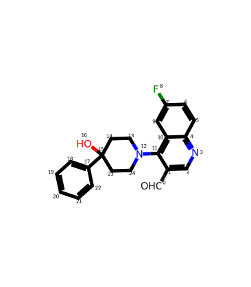 O=Cc1cnc2ccc(F)cc2c1N1CCC(O)(c2ccccc2)CC1